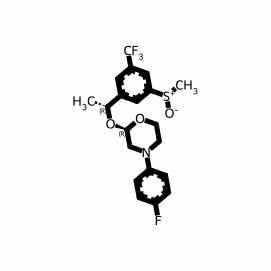 C[C@@H](O[C@@H]1CN(c2ccc(F)cc2)CCO1)c1cc([S+](C)[O-])cc(C(F)(F)F)c1